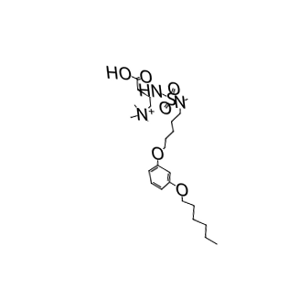 CCCCCCOc1cccc(OCCCCCN(C)S(=O)(=O)N[C@H](CC(=O)O)C[N+](C)(C)C)c1